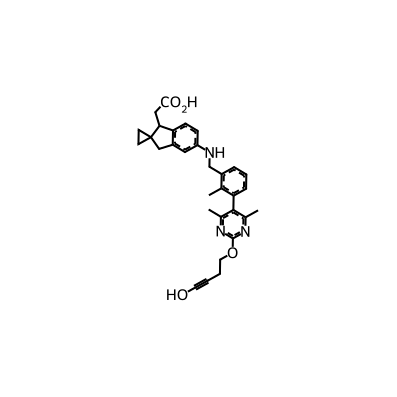 Cc1nc(OCCC#CO)nc(C)c1-c1cccc(CNc2ccc3c(c2)CC2(CC2)C3CC(=O)O)c1C